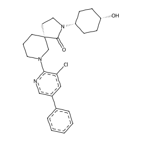 O=C1N([C@H]2CC[C@@H](O)CC2)CC[C@]12CCCN(c1ncc(-c3ccccc3)cc1Cl)C2